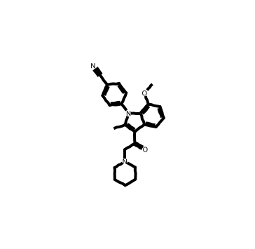 COc1cccc2c(C(=O)CN3CCCCC3)c(C)n(-c3ccc(C#N)cc3)c12